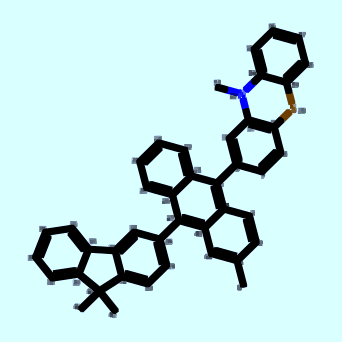 Cc1ccc2c(-c3ccc4c(c3)N(C)c3ccccc3S4)c3ccccc3c(-c3ccc4c(c3)-c3ccccc3C4(C)C)c2c1